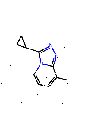 Cc1cccn2c(C3CC3)nnc12